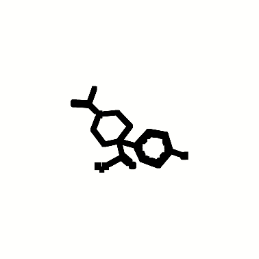 CC(=O)N1CCC(C(N)=O)(c2ccc(Cl)cc2)CC1